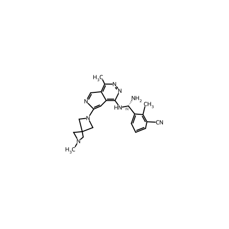 Cc1c(C#N)cccc1[C@@H](N)Nc1nnc(C)c2cnc(N3CC4(CN(C)C4)C3)cc12